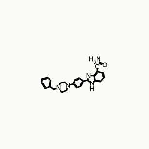 NC(=O)Oc1cccc2[nH]c(-c3ccc(N4CCN(Cc5ccccc5)CC4)cc3)nc12